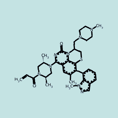 C=CC(=O)N1C[C@H](C)N(c2nc(=O)n3c4c(c(-c5cccc6cnn(C)c56)c(C)cc24)SCC3CN2CCN(C)CC2)C[C@H]1C